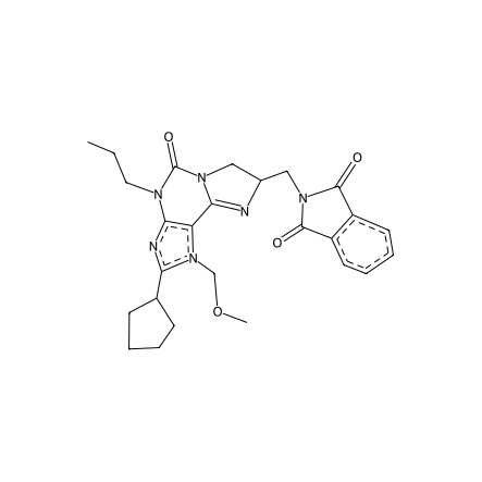 CCCN1C(=O)N2CC(CN3C(=O)c4ccccc4C3=O)N=C2c2c1nc(C1CCCC1)n2COC